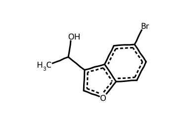 CC(O)c1coc2ccc(Br)cc12